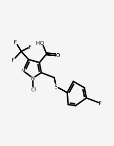 O=C(O)c1c(C(F)(F)F)nn(Cl)c1CSc1ccc(F)cc1